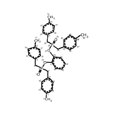 Cc1ccc(CP(=O)(Cc2ccc(C)cc2)Oc2ccccc2OP(=O)(Cc2ccc(C)cc2)Cc2ccc(C)cc2)cc1